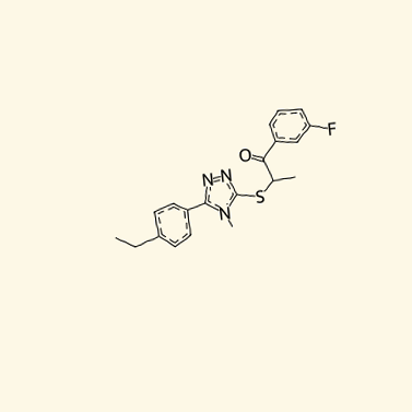 CCc1ccc(-c2nnc(SC(C)C(=O)c3cccc(F)c3)n2C)cc1